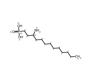 CCCCCCCCCCC(N)CCP(=O)(O)O